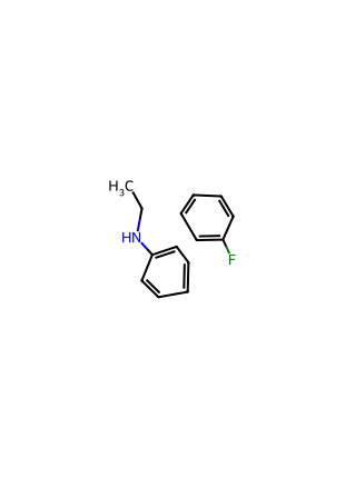 CCNc1ccccc1.Fc1ccccc1